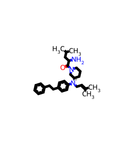 CC(C)=CCN(c1ccc(CCc2ccccc2)cc1)[C@H]1CCCN(C(=O)C(N)CC(C)C)C1